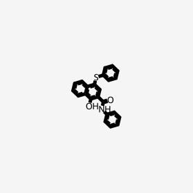 O=C(Nc1ccccc1)c1cc(Sc2ccccc2)c2ccccc2c1O